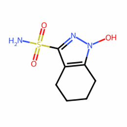 NS(=O)(=O)c1nn(O)c2c1CCCC2